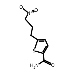 NC(=O)c1ccc(CCC[N+](=O)[O-])s1